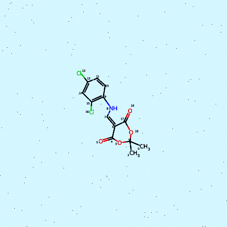 CC1(C)OC(=O)C(=CNc2ccc(Cl)cc2Cl)C(=O)O1